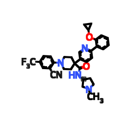 CN1CC[C@@H](NC(=O)C2(c3ccc(-c4ccccc4OC4CC4)nc3)CCN(c3ccc(C(F)(F)F)cc3C#N)CC2)C1